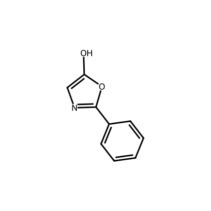 Oc1cnc(-c2ccccc2)o1